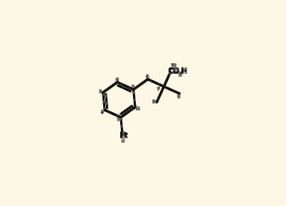 CCc1cccc(CC(C)(C)C(=O)O)c1